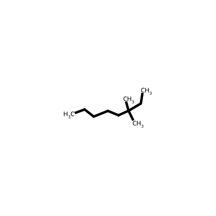 CCCC[CH]C(C)(C)CC